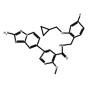 COc1ncc(-c2ccn3nc(N)nc3c2)cc1C(=O)NCc1ccc(F)cc1OCC1CC1